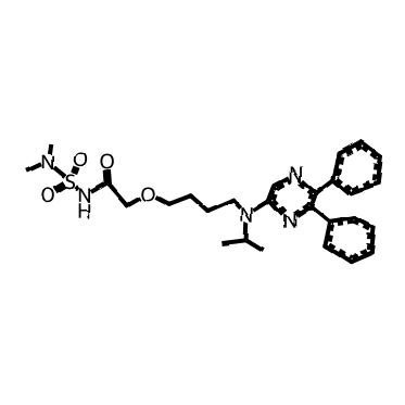 CC(C)N(CCCCOCC(=O)NS(=O)(=O)N(C)C)c1cnc(-c2ccccc2)c(-c2ccccc2)n1